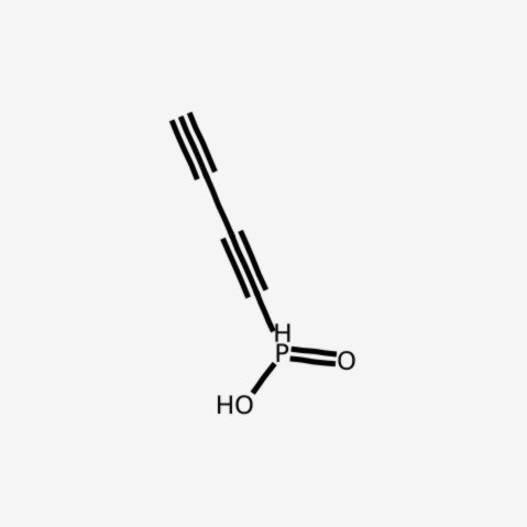 C#CC#C[PH](=O)O